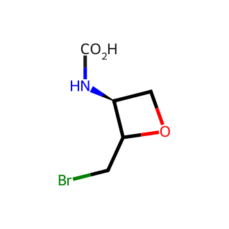 O=C(O)N[C@H]1COC1CBr